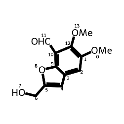 COc1cc2cc(CO)oc2c(C=O)c1OC